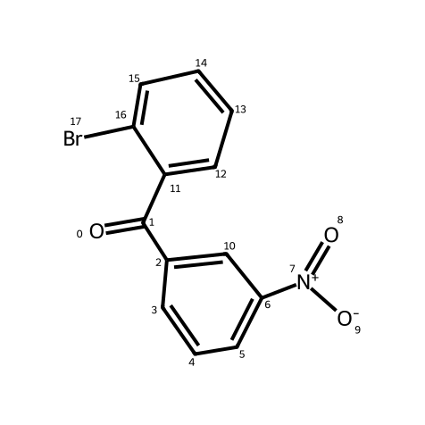 O=C(c1cccc([N+](=O)[O-])c1)c1ccccc1Br